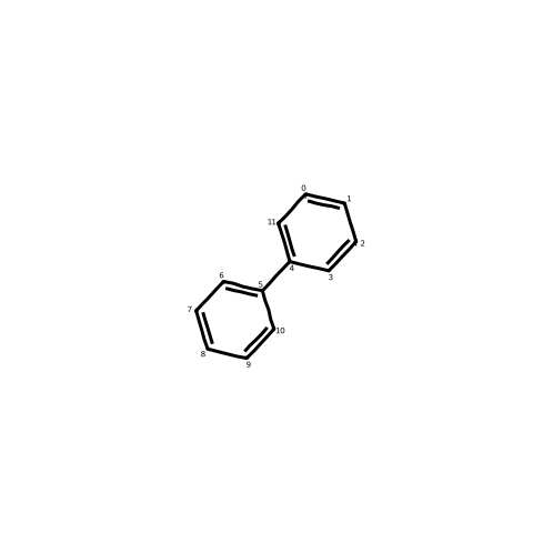 [c]1c[c]cc(-c2ccccc2)c1